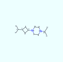 CC(C)C1CC(N2CCN(C(C)C)CC2)C1